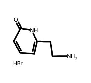 Br.NCCc1cccc(=O)[nH]1